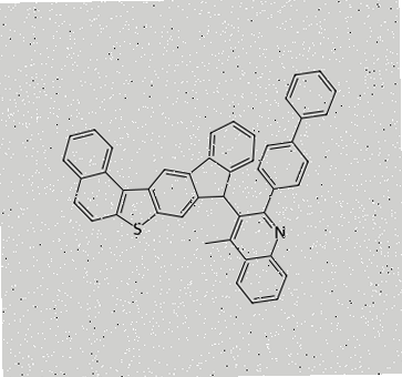 Cc1c(C2c3ccccc3-c3cc4c(cc32)sc2ccc3ccccc3c24)c(-c2ccc(-c3ccccc3)cc2)nc2ccccc12